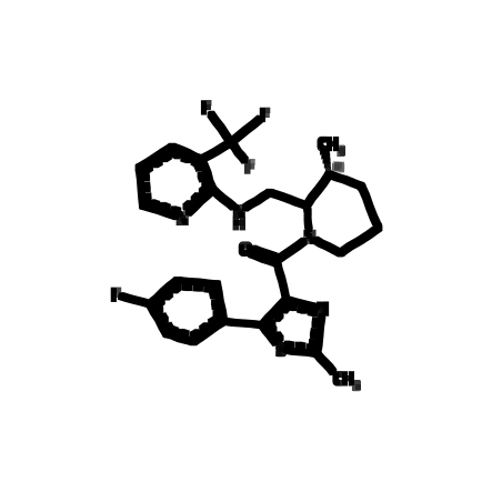 Cc1nc(C(=O)N2CCC[C@@H](C)C2CNc2ncccc2C(F)(F)F)c(-c2ccc(F)cc2)s1